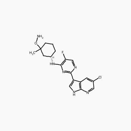 CC1(ON)CCC[C@H](Nc2nc(-c3c[nH]c4ncc(Cl)cc34)ncc2F)C1